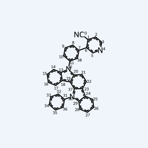 N#Cc1ccncc1-c1cccc(-n2c3ccccc3c3c2ccc2c4ccccc4n(-c4ccccc4)c23)c1